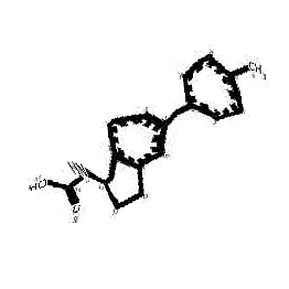 Cc1ccc(-c2ccc3c(c2)CCC3NC(=O)O)cc1